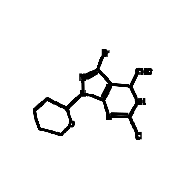 O=CC1NC(Cl)=Nc2c1c(Br)nn2C1CCCCO1